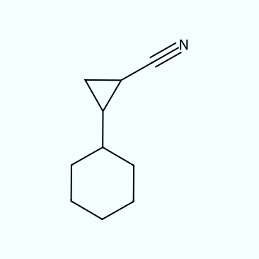 N#CC1CC1C1CCCCC1